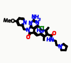 COc1ccnc(CN2C(=O)/C(=C/c3[nH]c(C)c(C(=O)NCCN4CCCC4)c3C)c3c(Cl)nc(N)nc32)c1